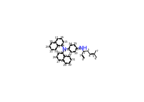 C=CC(CC=C(C)C)Nc1ccc(N(c2cccc3ccccc23)c2cccc3ccccc23)cc1